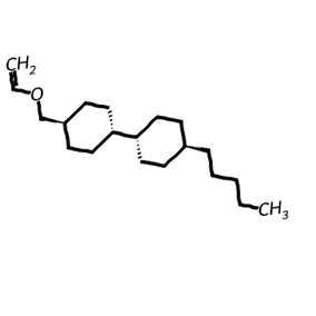 C=COC[C@H]1CC[C@H]([C@H]2CC[C@H](CCCCC)CC2)CC1